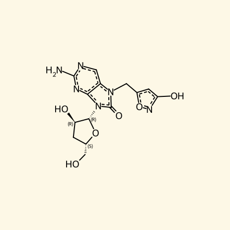 Nc1ncc2c(n1)n([C@@H]1O[C@H](CO)C[C@H]1O)c(=O)n2Cc1cc(O)no1